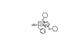 CCCCC(Cc1ccccc1)(C(=O)O)C(=O)O.O=C(/C=C\C(=O)OC1CCCCC1)OC1CCCCC1